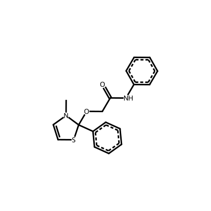 CN1C=CSC1(OCC(=O)Nc1ccccc1)c1ccccc1